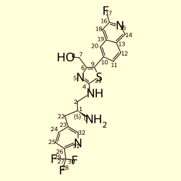 N[C@H](CNc1nc(CO)c(-c2ccc3cnc(F)cc3c2)s1)Cc1ccc(C(F)(F)F)nc1